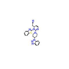 N#CCC1C=CN=C(N2CCC(n3nnc4ccccc43)CC2)N1c1nc2ccccc2s1